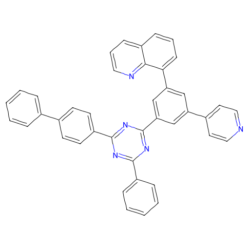 c1ccc(-c2ccc(-c3nc(-c4ccccc4)nc(-c4cc(-c5ccncc5)cc(-c5cccc6cccnc56)c4)n3)cc2)cc1